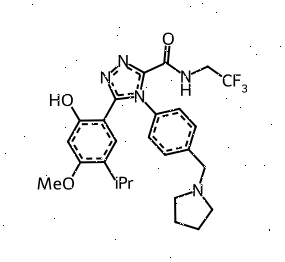 COc1cc(O)c(-c2nnc(C(=O)NCC(F)(F)F)n2-c2ccc(CN3CCCC3)cc2)cc1C(C)C